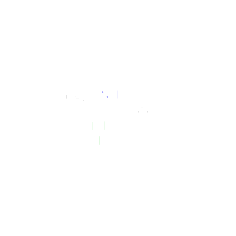 CC(C)(C)NCC(=O)O.Cl.Cl